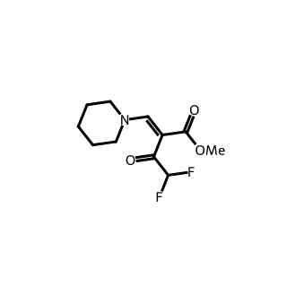 COC(=O)C(=CN1CCCCC1)C(=O)C(F)F